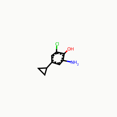 Nc1cc(C2CC2)cc(Cl)c1O